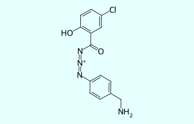 NCc1ccc(N=[N+]=NC(=O)c2cc(Cl)ccc2O)cc1